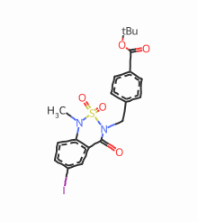 CN1c2ccc(I)cc2C(=O)N(Cc2ccc(C(=O)OC(C)(C)C)cc2)S1(=O)=O